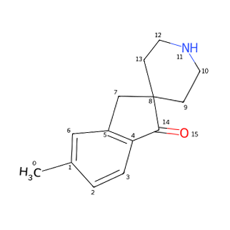 Cc1ccc2c(c1)CC1(CCNCC1)C2=O